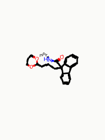 CCCNC(=O)C1(CCCC2OCCCO2)c2ccccc2-c2ccccc21